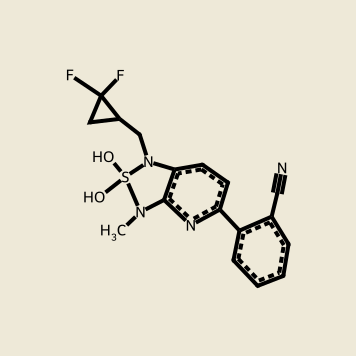 CN1c2nc(-c3ccccc3C#N)ccc2N(CC2CC2(F)F)S1(O)O